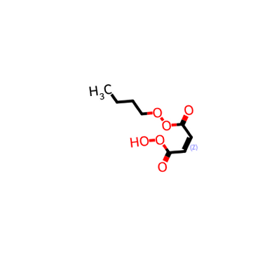 CCCCOOC(=O)/C=C\C(=O)OO